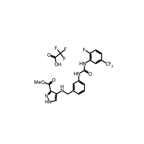 COC(=O)c1n[nH]cc1NCc1cccc(NC(=O)Nc2cc(C(F)(F)F)ccc2F)c1.O=C(O)C(F)(F)F